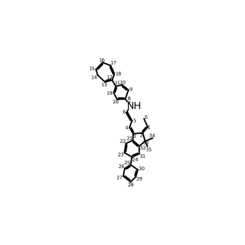 C\C=C1/C(=C\C=C\Nc2ccc(C3=CCC=CC=C3)cc2)c2ccc(-c3ccccc3)cc2C1(C)C